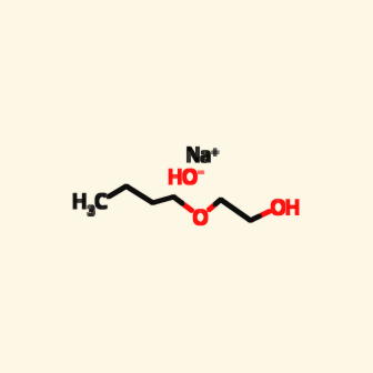 CCCCOCCO.[Na+].[OH-]